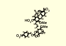 CCCC(=O)N(OC(=O)OCc1ccc([N+](=O)[O-])cc1)[C@H](CSCc1c(OC)c(Cc2ccc([N+](=O)[O-])cc2)c(O[Si](C)(C)C(C)(C)C)c(C)c1C(=O)O)C(=O)OC